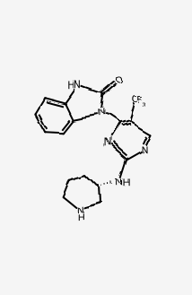 O=c1[nH]c2ccccc2n1-c1nc(N[C@H]2CCCNC2)ncc1C(F)(F)F